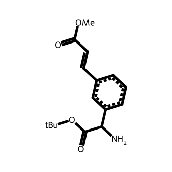 COC(=O)C=Cc1cccc(C(N)C(=O)OC(C)(C)C)c1